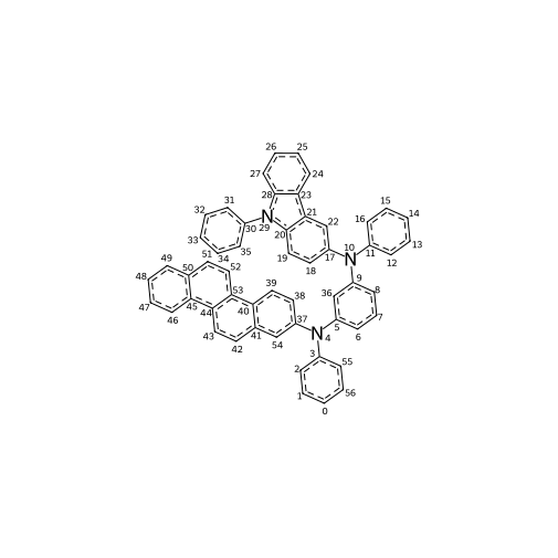 c1ccc(N(c2cccc(N(c3ccccc3)c3ccc4c(c3)c3ccccc3n4-c3ccccc3)c2)c2ccc3c(ccc4c5ccccc5ccc34)c2)cc1